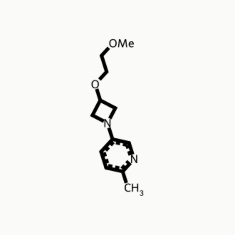 COCCOC1CN(c2ccc(C)nc2)C1